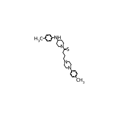 Cc1ccc(NC2CCN(C(=S)CCCN3CCN(c4ccc(C)cc4)CC3)CC2)cc1